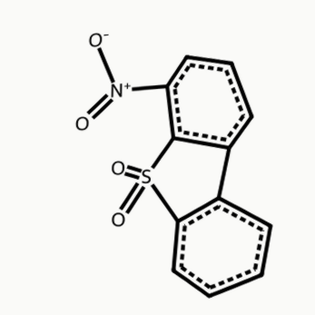 O=[N+]([O-])c1cccc2c1S(=O)(=O)c1ccccc1-2